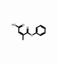 C/C(=C/C(=O)O)C(=O)Oc1ccccc1